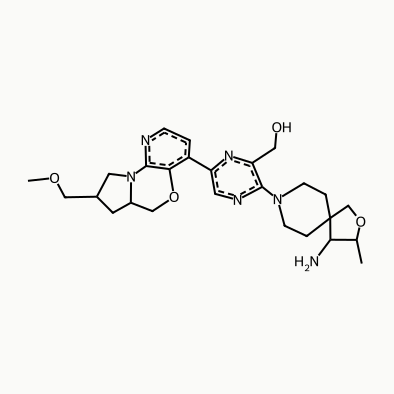 COCC1CC2COc3c(-c4cnc(N5CCC6(CC5)COC(C)C6N)c(CO)n4)ccnc3N2C1